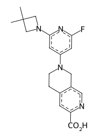 CC1(C)CN(c2cc(N3CCc4cc(C(=O)O)ncc4C3)cc(F)n2)C1